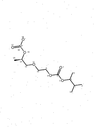 CC(C)C(C)OC(=O)OCCOC[C@@H](C)O[N+](=O)[O-]